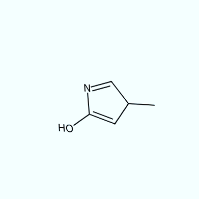 CC1C=NC(O)=C1